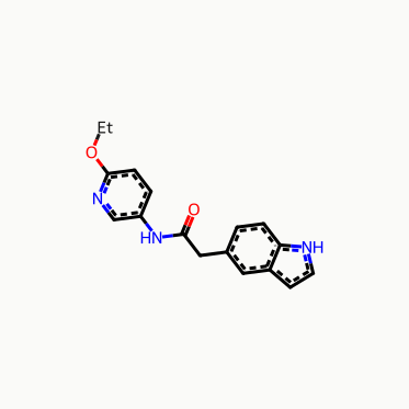 CCOc1ccc(NC(=O)Cc2ccc3[nH]ccc3c2)cn1